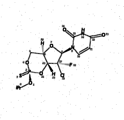 CC(C)O[P@@]1(=S)OC[C@H]2O[C@@H](n3ccc(=O)[nH]c3=O)[C@@](F)(Cl)[C@@H]2O1